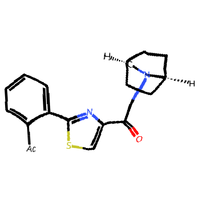 CC(=O)c1ccccc1-c1nc(C(=O)N2C[C@H]3CC[C@H](CC3)C2)cs1